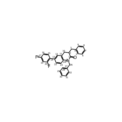 O=C1C(Cc2ccccc2)Cc2cc(-c3ccc(F)cc3F)ccc2N1Cc1ccccc1